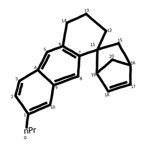 CCCc1ccc2cc3c(cc2c1)C1(CCC3)CC2C=CC1C2